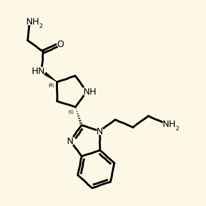 NCCCn1c([C@@H]2C[C@@H](NC(=O)CN)CN2)nc2ccccc21